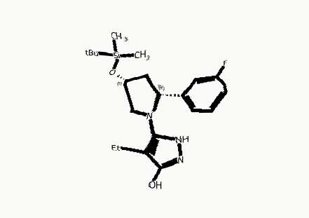 CCc1c(O)n[nH]c1N1C[C@H](O[Si](C)(C)C(C)(C)C)C[C@@H]1c1cccc(F)c1